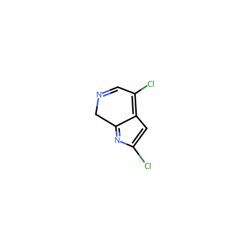 ClC1=CC2=C(Cl)C=NCC2=N1